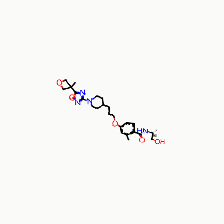 Cc1cc(OCCCC2CCN(c3noc(C4(C)COC4)n3)CC2)ccc1C(=O)N[C@H](C)CO